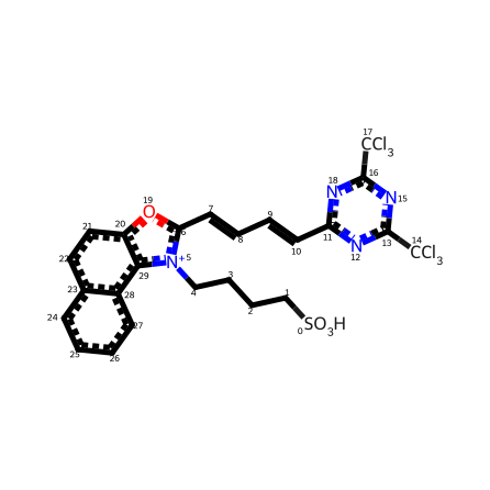 O=S(=O)(O)CCCC[n+]1c(C=CC=Cc2nc(C(Cl)(Cl)Cl)nc(C(Cl)(Cl)Cl)n2)oc2ccc3ccccc3c21